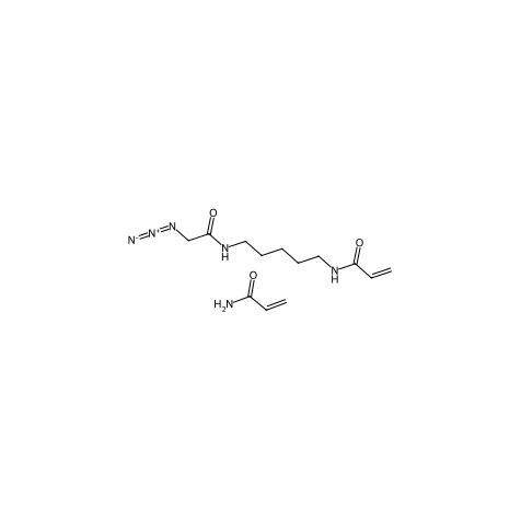 C=CC(=O)NCCCCCNC(=O)CN=[N+]=[N-].C=CC(N)=O